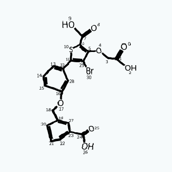 O=C(O)COc1c(C(=O)O)sc(-c2cccc(OCc3cccc(C(=O)O)c3)c2)c1Br